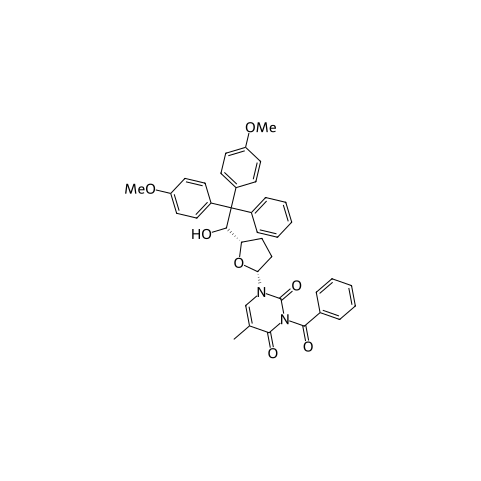 COc1ccc(C(c2ccccc2)(c2ccc(OC)cc2)C(O)[C@@H]2CC[C@H](n3cc(C)c(=O)n(C(=O)c4ccccc4)c3=O)O2)cc1